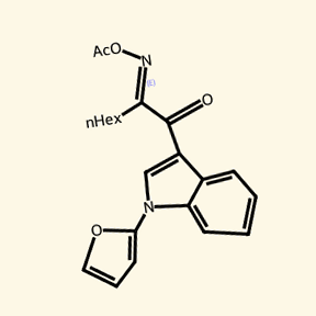 CCCCCC/C(=N\OC(C)=O)C(=O)c1cn(-c2ccco2)c2ccccc12